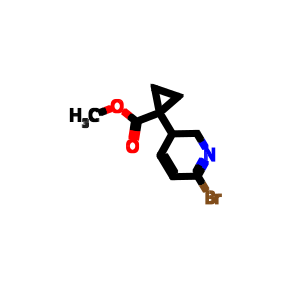 COC(=O)C1(C2C=CC(Br)=NC2)CC1